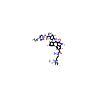 CN(C)CCCNC(=O)c1ccc2c(c1)NC(=O)/C2=C(\Nc1ccc(N(C)C(=O)CN2CCN(C)CC2)cc1)c1ccccc1